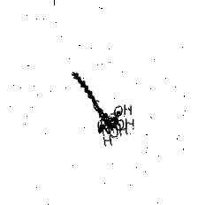 CCCCCCCCCCCCCCCCCCOC1O[C@H](CO)[C@@H](O)[C@H](O)[C@H]1NC(C)=O